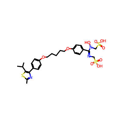 Cc1nc(-c2ccc(OCCCCCOc3ccc(C(=NCS(=O)(=O)O)N(O)CS(=O)(=O)O)cc3)cc2)c(C(C)C)s1